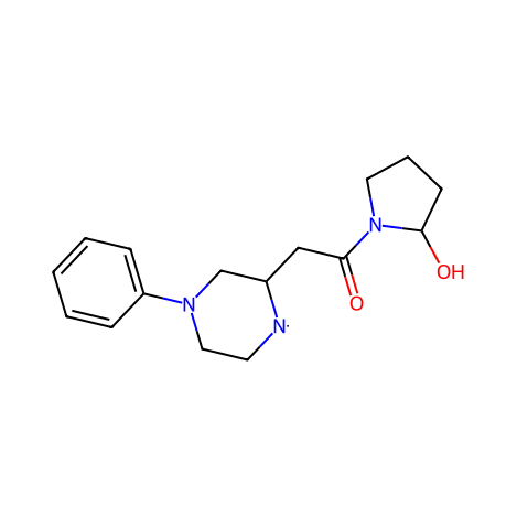 O=C(CC1CN(c2ccccc2)CC[N]1)N1CCCC1O